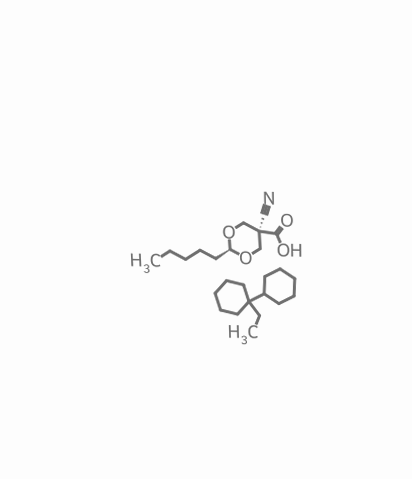 CCC1(C2CCCCC2)CCCCC1.CCCCC[C@H]1OC[C@@](C#N)(C(=O)O)CO1